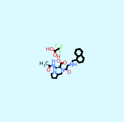 CC(=O)NC[C@@H](C(=O)O)N(CC1CCCN1)C(=O)CNCc1cccc2ccccc12.O=C(O)C(F)(F)F